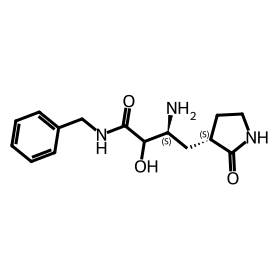 N[C@@H](C[C@@H]1CCNC1=O)C(O)C(=O)NCc1ccccc1